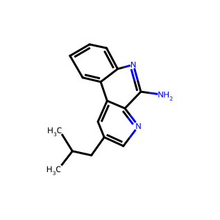 CC(C)Cc1cnc2c(N)nc3ccccc3c2c1